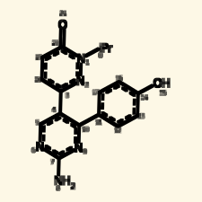 CC(C)n1nc(-c2cnc(N)nc2-c2ccc(O)cc2)ccc1=O